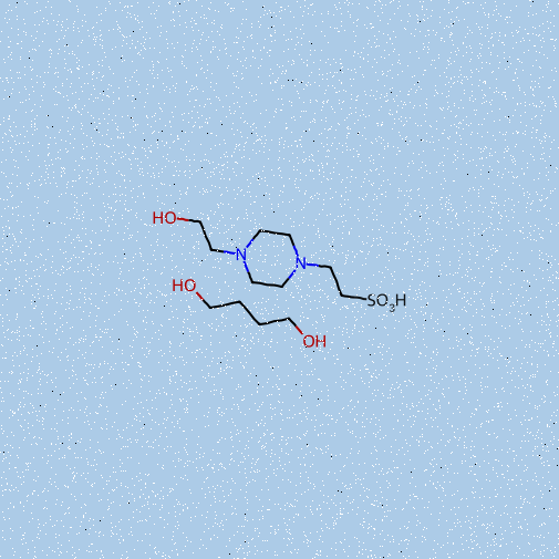 O=S(=O)(O)CCN1CCN(CCO)CC1.OCCCCO